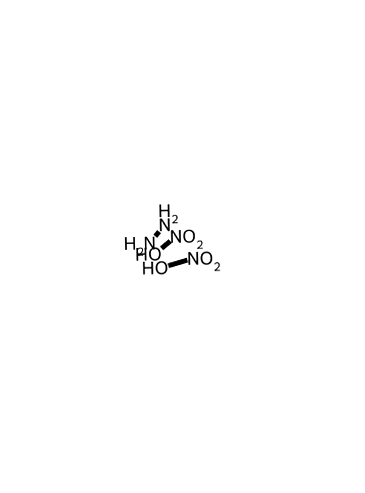 NN.O=[N+]([O-])O.O=[N+]([O-])O